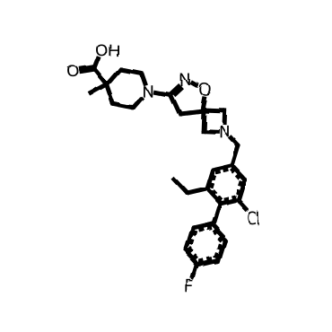 CCc1cc(CN2CC3(CC(N4CCC(C)(C(=O)O)CC4)=NO3)C2)cc(Cl)c1-c1ccc(F)cc1